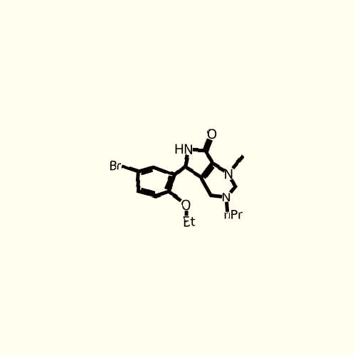 CCCN1CC2=C(C(=O)NC2c2cc(Br)ccc2OCC)N(C)C1